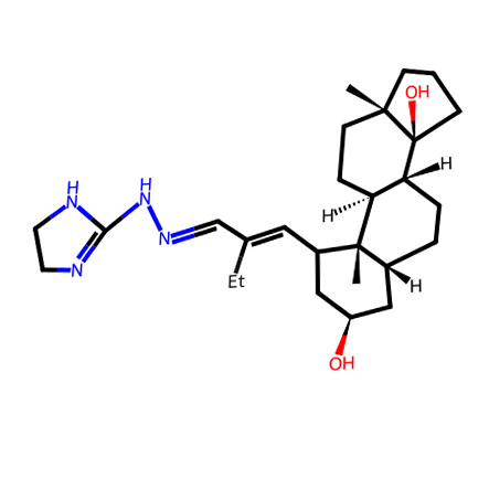 CCC(/C=N/NC1=NCCN1)=C\C1C[C@H](O)C[C@H]2CC[C@@H]3[C@H](CC[C@]4(C)CCC[C@]34O)[C@@]12C